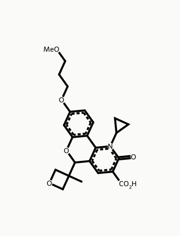 COCCCOc1ccc2c(c1)OC(C1(C)COC1)c1cc(C(=O)O)c(=O)n(C3CC3)c1-2